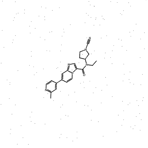 CCN(C(=O)c1cnc2cc(-c3ccnc(C)c3)ccn12)C1CCN(C#N)C1